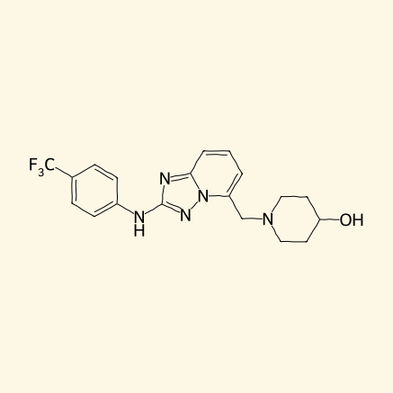 OC1CCN(Cc2cccc3nc(Nc4ccc(C(F)(F)F)cc4)nn23)CC1